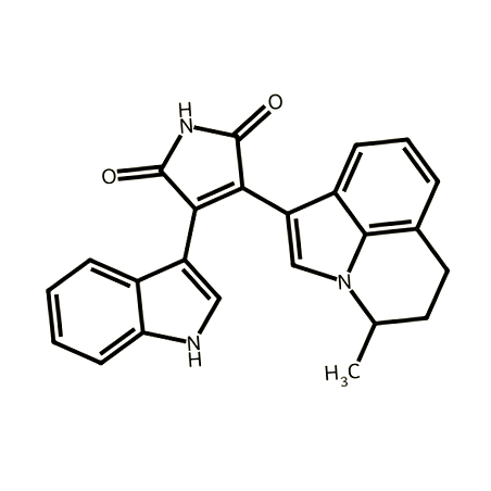 CC1CCc2cccc3c(C4=C(c5c[nH]c6ccccc56)C(=O)NC4=O)cn1c23